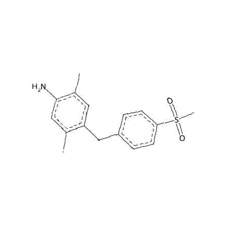 Cc1cc(Cc2ccc(S(C)(=O)=O)cc2)c(C)cc1N